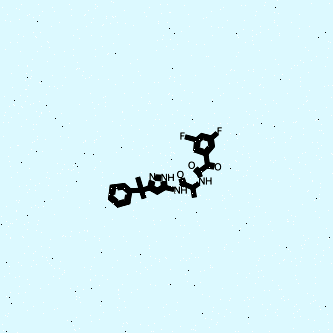 CC(NC(=O)C(=O)c1cc(F)cc(F)c1)C(=O)Nc1cc(C(C)(C)c2ccccc2)n[nH]1